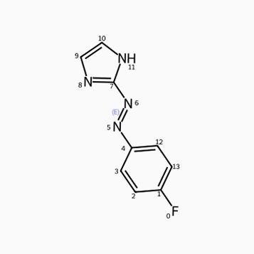 Fc1ccc(/N=N/c2ncc[nH]2)cc1